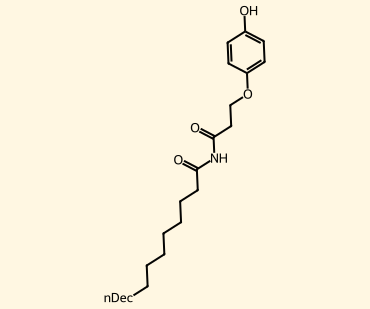 CCCCCCCCCCCCCCCCCC(=O)NC(=O)CCOc1ccc(O)cc1